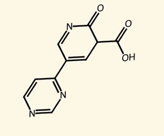 O=C(O)C1C=C(c2ccncn2)C=NC1=O